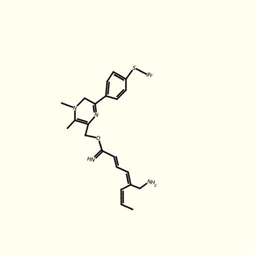 C\C=C/C(=C\C=C\C(=N)OCC1=C(C)N(C)CC(c2ccc(SC(C)C)cc2)=N1)CN